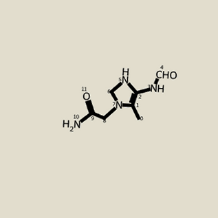 CC1=C(NC=O)NCN1CC(N)=O